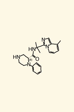 Cc1cccn2c(C(C)(C)NC(=O)[C@H]3CNCCN3c3ccccc3)ncc12